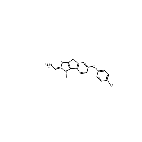 CN1C(=CN)SC2=C1c1ccc(Oc3ccc(Cl)cc3)cc1C2